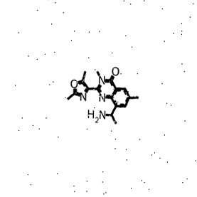 Cc1cc(C(C)N)c2nc(-c3nc(C)oc3C)n(C)c(=O)c2c1